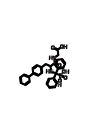 O=C(O)CNC(=O)C(Cc1ccc(-c2ccccc2)cc1)NC(c1ccccc1)(c1ccccc1)P(=O)(O)O